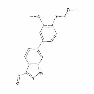 COCOc1ccc(-c2ccc3c(C=O)n[nH]c3c2)cc1OC